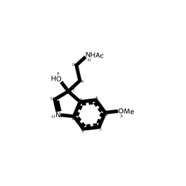 COc1ccc2c(c1)C(O)(CCNC(C)=O)C=N2